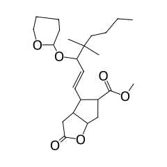 CCCCC(C)(C)C(C=CC1C(C(=O)OC)CC2OC(=O)CC21)OC1CCCCO1